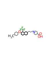 C[C@H]1CC[C@@H](Oc2ccc3ccc(CCCN4CCC(C(=O)O)CC4)cc3c2C(F)(F)F)CC1